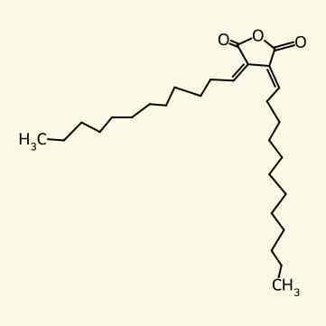 CCCCCCCCCCCC=C1C(=O)OC(=O)C1=CCCCCCCCCCCC